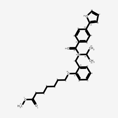 COC(=O)CCCCCCOc1ccccc1CN(C(=O)c1ccc(-c2ccco2)cc1)C(C)C